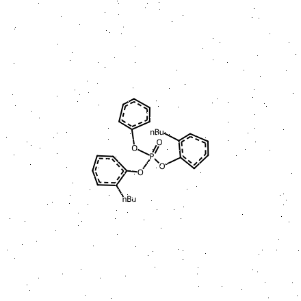 CCCCc1ccccc1OP(=O)(Oc1ccccc1)Oc1ccccc1CCCC